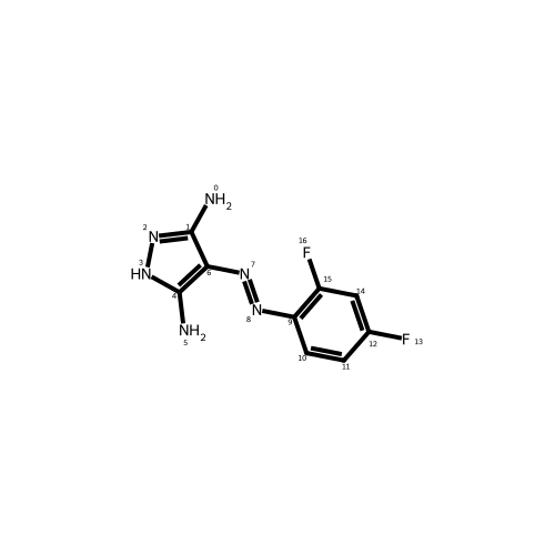 Nc1n[nH]c(N)c1N=Nc1ccc(F)cc1F